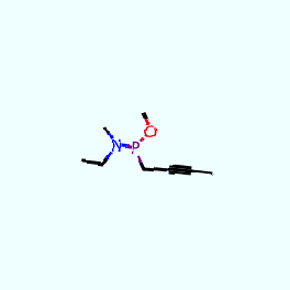 CC#CCP(OC)N(C)CC